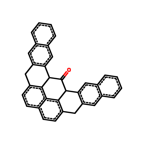 O=C1C2c3cc4ccccc4cc3Cc3ccc4ccc5c(c4c32)C1c1cc2ccccc2cc1C5